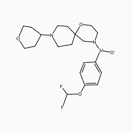 [O-][S+](c1ccc(OC(F)F)cc1)N1CCOC2(CCN(C3CCOCC3)CC2)C1